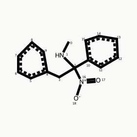 CNC(Cc1ccccc1)(c1ccccc1)[N+](=O)[O-]